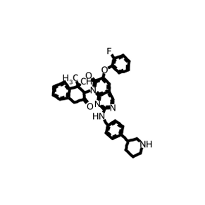 CC1(C)c2ccccc2CC(=O)C1n1c(=O)c(Oc2ccccc2F)cc2cnc(Nc3ccc(C4CCCNC4)cc3)nc21